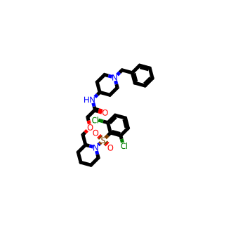 O=C(COCC1CCCCN1S(=O)(=O)c1c(Cl)cccc1Cl)NC1CCN(Cc2ccccc2)CC1